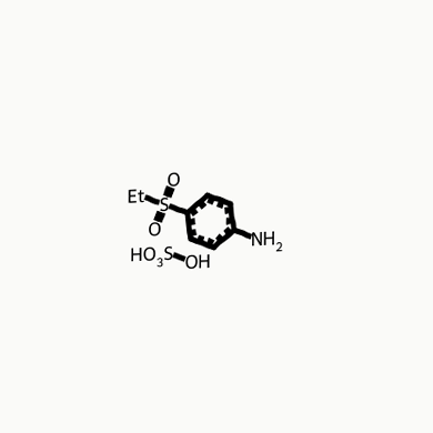 CCS(=O)(=O)c1ccc(N)cc1.O=S(=O)(O)O